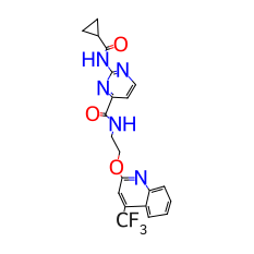 O=C(NCCOc1cc(C(F)(F)F)c2ccccc2n1)c1ccnc(NC(=O)C2CC2)n1